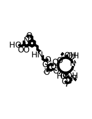 CC[C@H]1OC(=O)[C@H](C)[C@@H](O[C@H]2C[C@@](C)(OC)[C@@H](OC(=O)CCNCCCc3cc4c5c(c3)c(=O)c(C(=O)O)cn5COC4)[C@H](C)O2)[C@H](C)[C@@H](O[C@@H]2O[C@H](C)C[C@H](N(C)C)[C@H]2O)[C@](C)(O)C[C@@H](C)CN(C)[C@H](C)[C@@H](O)[C@]1(C)O